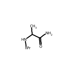 CCCNC(C)C(N)=O